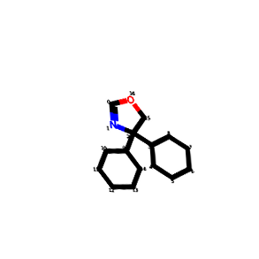 C1=NC(C2CCCCC2)(C2CCCCC2)CO1